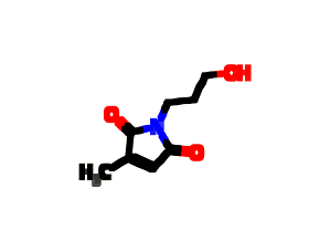 CC1=CC(=O)N(CCCO)C1=O